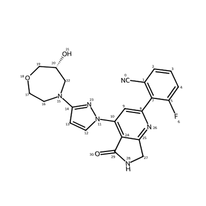 N#Cc1cccc(F)c1-c1cc(-n2ccc(N3CCOC[C@H](O)C3)n2)c2c(n1)CNC2=O